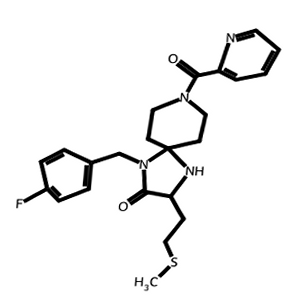 CSCCC1NC2(CCN(C(=O)c3ccccn3)CC2)N(Cc2ccc(F)cc2)C1=O